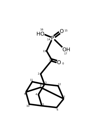 O=C(CC12CC3CC(CC(C3)C1)C2)CP(=O)(O)O